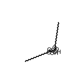 CCCCCCCCCCCCCCCCCCOC(=O)C(O)SC(O)C(=O)OCCCCCCCCCCCCCCCCCC